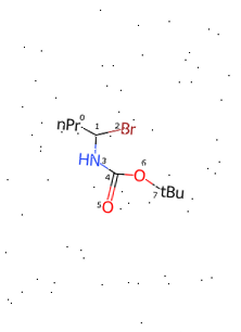 [CH2]CCC(Br)NC(=O)OC(C)(C)C